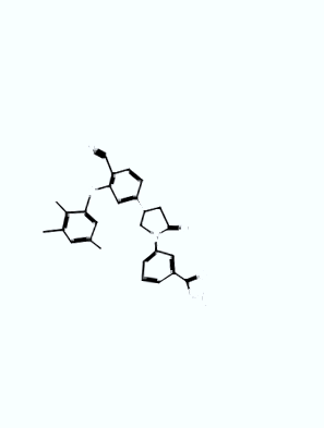 Cc1cc(C)c(C)c(Oc2cc([C@H]3CC(=O)N(c4cccc(C(N)=O)c4)C3)ccc2C#N)c1